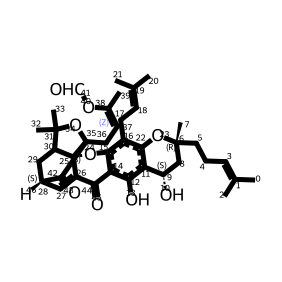 CC(C)=CCC[C@]1(C)C[C@H](O)c2c(O)c3c(c(CC=C(C)C)c2O1)O[C@]12C(=C[C@@H]4CC1C(C)(C)OC2(C/C=C(/C)OC=O)C4=O)C3=O